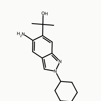 CC(C)(O)c1cc2nn(C3CC[CH]CC3)cc2cc1N